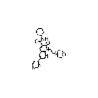 O=C(NC1CCCCC1)c1cc2cc(-c3ccncn3)cnc2n(CCN2CCOCC2)c1=O